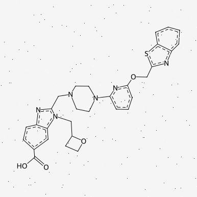 O=C(O)c1ccc2nc(CN3CCN(c4cccc(OCc5nc6ccccc6s5)n4)CC3)n(CC3CCO3)c2c1